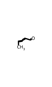 CC=C=CC=O